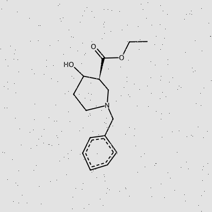 CCOC(=O)[C@H]1CN(Cc2ccccc2)CCC1O